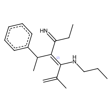 C=C(C)/C(NCCC)=C(/C(=N)CC)C(C)c1ccccc1